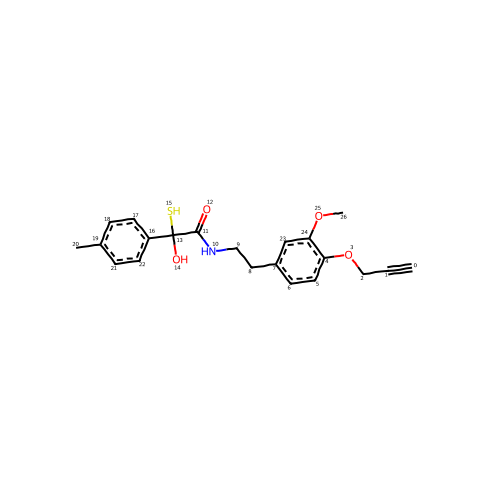 C#CCOc1ccc(CCNC(=O)C(O)(S)c2ccc(C)cc2)cc1OC